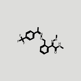 CNC(=O)C(=NSC)c1ccccc1CON=C(C)c1ccc(C(F)(F)F)cc1